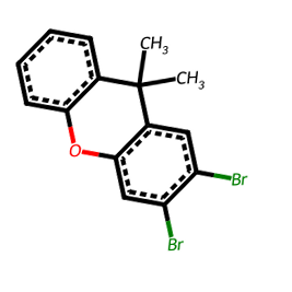 CC1(C)c2ccccc2Oc2cc(Br)c(Br)cc21